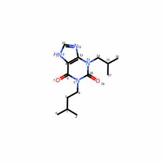 CC(C)CCn1c(=O)c2[nH]cnc2n(CC(C)C)c1=O